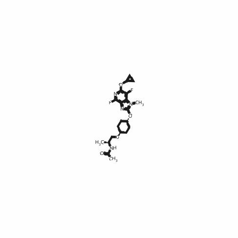 CC(=O)N[C@@H](C)CO[C@H]1CC[C@H](Oc2nc3c(F)nc(OC4CC4)c(F)c3n2C)CC1